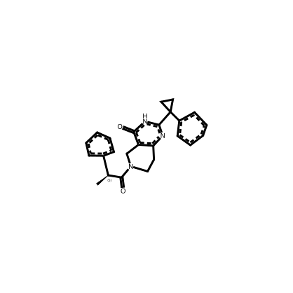 C[C@H](C(=O)N1CCc2nc(C3(c4ccccc4)CC3)[nH]c(=O)c2C1)c1ccccc1